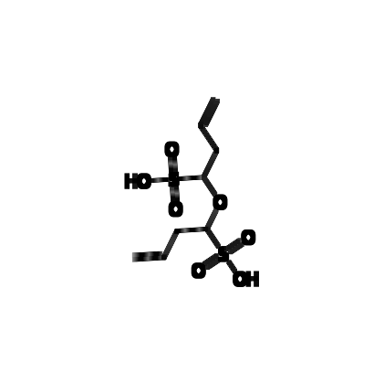 C=CCC(OC(CC=C)S(=O)(=O)O)S(=O)(=O)O